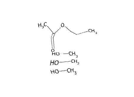 CCOC(C)=O.CO.CO.CO